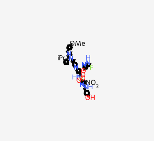 COc1ccc(CN2C[C@@H](c3ccccc3C(C)C)N(C3CC4(CCN(c5ccc(C(=O)NS(=O)(=O)c6cnc(NCC7CCC(C)(O)CC7)c([N+](=O)[O-])c6)c(Oc6cnc7[nH]cc(F)c7c6)c5)CC4)C3)C[C@@H]2C)cc1